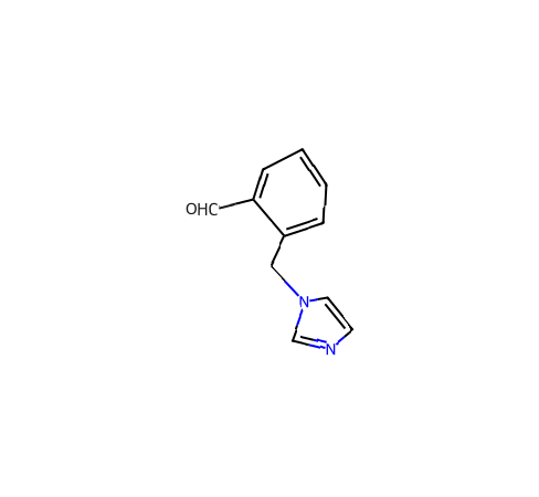 O=Cc1ccccc1Cn1ccnc1